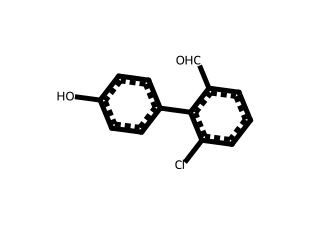 O=Cc1cccc(Cl)c1-c1ccc(O)cc1